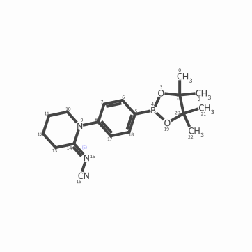 CC1(C)OB(c2ccc(N3CCCC/C3=N\C#N)cc2)OC1(C)C